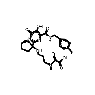 CN(CCCNC12CCC(CC1)Cn1c2nc(C(=O)NCc2ccc(F)cc2)c(O)c1=O)C(=O)C(=O)O